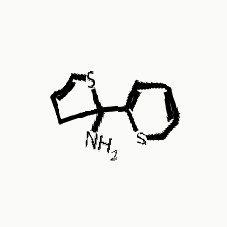 NC1(c2cccs2)CC=CS1